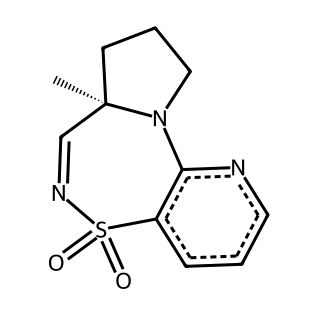 C[C@@]12C=NS(=O)(=O)c3cccnc3N1CCC2